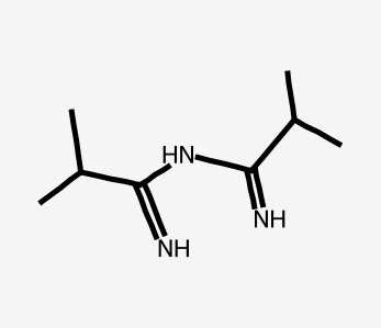 CC(C)C(=N)NC(=N)C(C)C